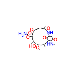 CNC1=C2C[C@@H](C)C[C@H](OC)[C@H](O)[C@@H](C)C=C(C)[C@H](OC(N)=O)[C@@H](OC)C=CC=C(C)C(=O)NC(=CC1=O)C2=O